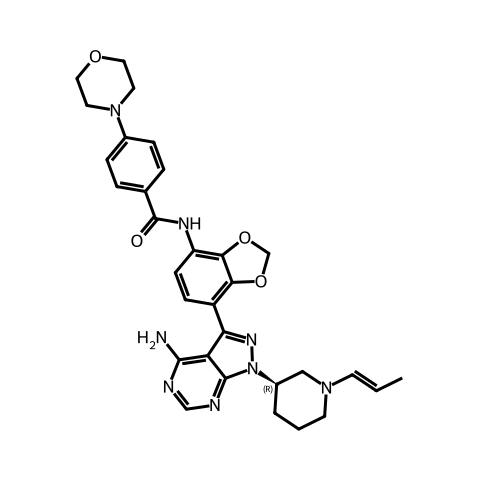 CC=CN1CCC[C@@H](n2nc(-c3ccc(NC(=O)c4ccc(N5CCOCC5)cc4)c4c3OCO4)c3c(N)ncnc32)C1